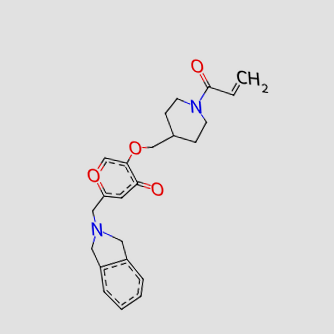 C=CC(=O)N1CCC(COc2coc(CN3Cc4ccccc4C3)cc2=O)CC1